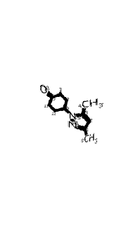 Cc1cc(C)n(C2CCC(=O)CC2)n1